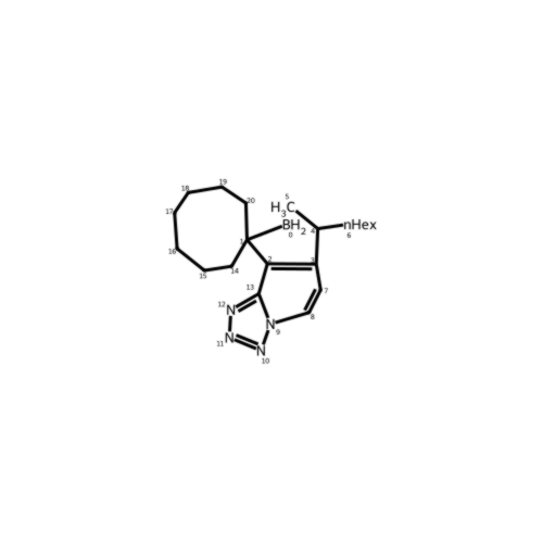 BC1(c2c(C(C)CCCCCC)ccn3nnnc23)CCCCCCC1